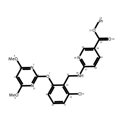 COc1cc(OC)nc(Oc2cccc(Cl)c2CNc2ccc(C(=O)OC(C)C)cn2)n1